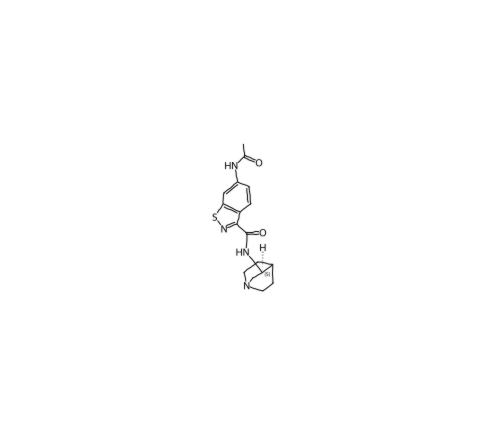 CC(=O)Nc1ccc2c(C(=O)N[C@@H]3CN4CCC3CC4)nsc2c1